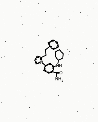 NC(=O)c1ccc(-n2cccc2CCc2ccccc2)cc1NC1CCCCC1